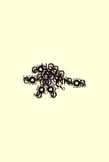 CC[C@H](C)[C@H](C)C(=O)N[C@@H](CCOCc1ccc(OC)cc1)C(=O)OC1COC(O)C(OCc2ccc(OC)cc2)C1OC1OCC(OCc2ccc(OC)cc2)C(OCc2ccc(OC)cc2)C1OCc1ccc(OC)cc1